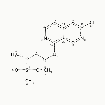 C[C@H](C[C@@H](C)S(C)(=O)=O)Oc1nccc2cc(Cl)ncc12